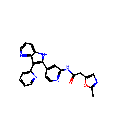 Cc1ncc(CC(=O)Nc2cc(-c3[nH]c4cccnc4c3-c3ccccn3)ccn2)o1